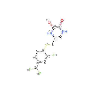 O=c1[nH]cc(CSc2ccc(C(F)F)cc2F)[nH]c1=O